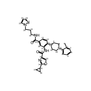 Cc1ccccc1N1CCN(c2ccc(C(=O)NCCCn3cccn3)cc2NC(=O)c2coc(C3CC3)n2)CC1